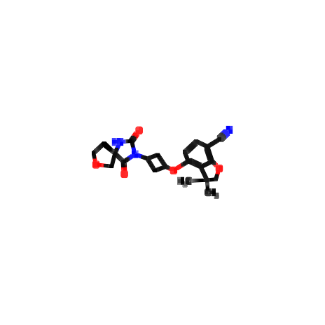 CC1(C)COc2c(C#N)ccc(OC3CC(N4C(=O)N[C@]5(CCOC5)C4=O)C3)c21